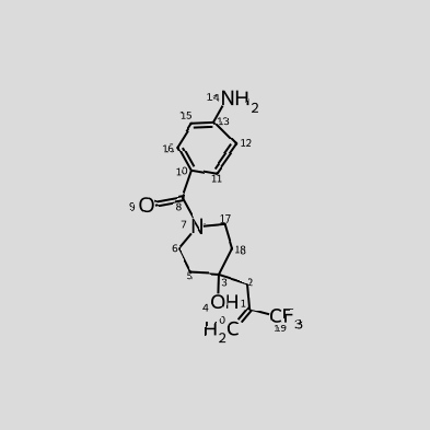 C=C(CC1(O)CCN(C(=O)c2ccc(N)cc2)CC1)C(F)(F)F